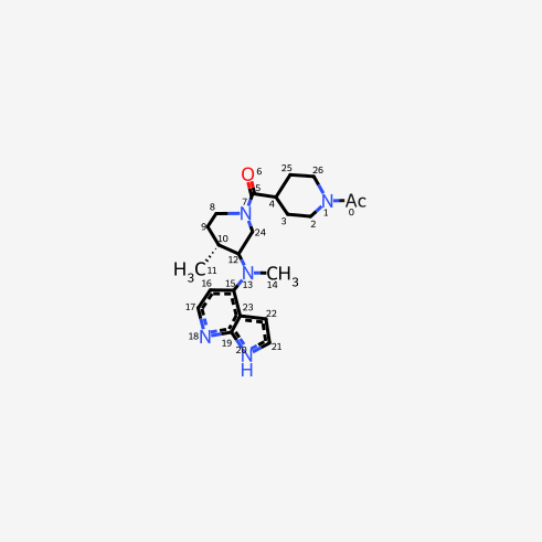 CC(=O)N1CCC(C(=O)N2CC[C@@H](C)C(N(C)c3ccnc4[nH]ccc34)C2)CC1